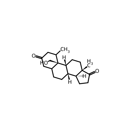 CC1CC(=O)CC2CC[C@@H]3[C@@H](CC[C@]4(C)C(=O)CC[C@@H]34)[C@@]12CO